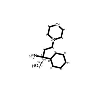 N[C@](CCN1CCOCC1)(C(=O)O)C1CCCCC1